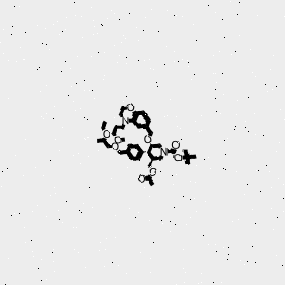 CCOC(C)COCc1ccc([C@H]2[C@H](COC(C)=O)CN(C(=O)OC(C)(C)C)C[C@@H]2OCc2ccc3c(c2)N(CCCOC)CCO3)cc1